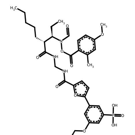 CCCCC[C@@H](C(=O)NCNC(=O)c1ccc(-c2cc(OCC)cc(P(=O)(O)O)c2)o1)[C@@H](CC)N(C=O)OC(=O)c1ccc(OC)cc1C